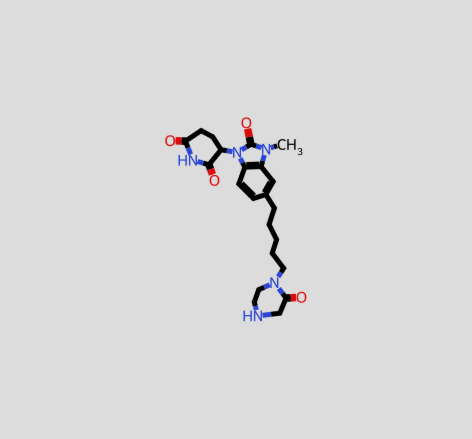 Cn1c(=O)n(C2CCC(=O)NC2=O)c2ccc(CCCCCN3CCNCC3=O)cc21